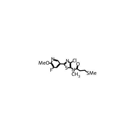 COc1ncc(-c2nc(Cl)c(N(C)C(=O)CCSC)s2)cc1F